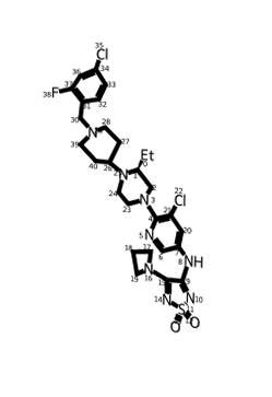 CC[C@H]1CN(c2ncc(NC3=NS(=O)(=O)N=C3N3CCC3)cc2Cl)CCN1C1CCN(Cc2ccc(Cl)cc2F)CC1